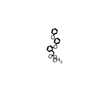 COC(=O)Cc1ccccc1Oc1cccc(Oc2ccccc2)c1